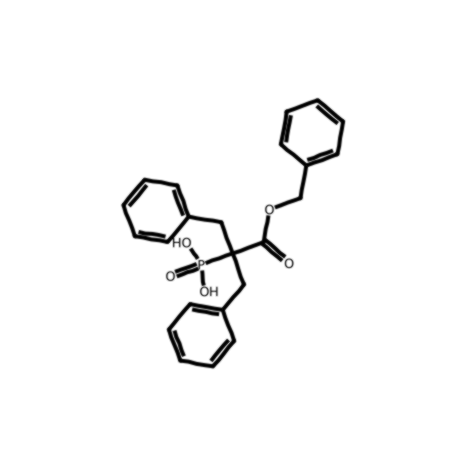 O=C(OCc1ccccc1)C(Cc1ccccc1)(Cc1ccccc1)P(=O)(O)O